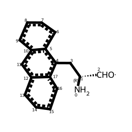 N[C@@H]([C]=O)Cc1c2ccccc2cc2ccccc12